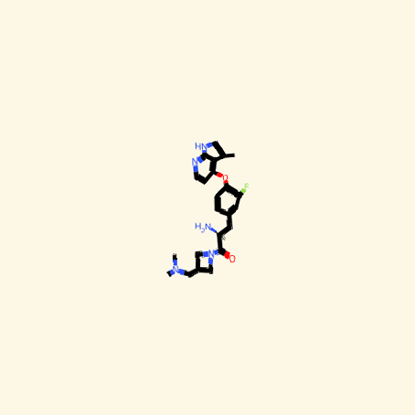 Cc1c[nH]c2nccc(Oc3ccc(C[C@H](N)C(=O)N4CC(CN(C)C)C4)cc3F)c12